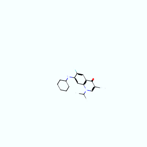 CCC(CC)n1cc(NC(C)=O)c(=O)c2cc(F)c(NC3CCCCC3)cc21